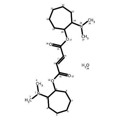 CN(C)C1CCCCCC1OC(=O)/C=C/C(=O)OC1CCCCCC1N(C)C.O